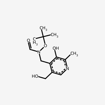 Cc1ncc(CO)c(CN(C=O)OC(C)(C)C)c1O